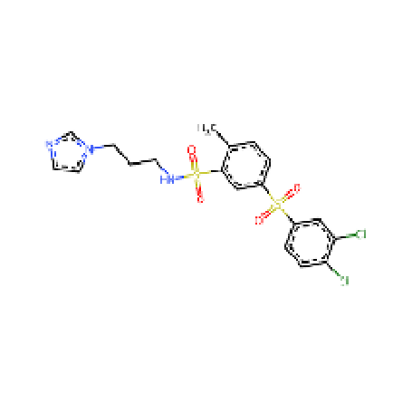 Cc1ccc(S(=O)(=O)c2ccc(Cl)c(Cl)c2)cc1S(=O)(=O)NCCCn1ccnc1